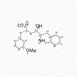 COc1cccc(CC(CC(O)C(N)Cc2ccccc2)C(=O)O)c1